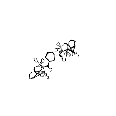 CC1(C)C2CC[C@@]13CS(=O)(=O)N(C(=O)[C@H]1CCC[C@H](C(=O)N4[C@H]5CC6CC[C@@]5(CS4(=O)=O)C6(C)C)C1)[C@H]3C2